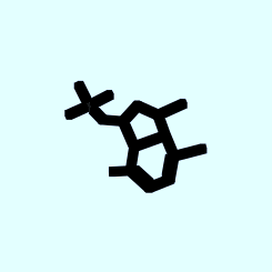 CC1=CC=C(C)C2C(CS(C)(C)C)CC(C)C12